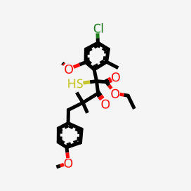 CCOC(=O)C(S)(C(=O)C(C)(C)Cc1ccc(OC)cc1)c1c(C)cc(Cl)cc1OC